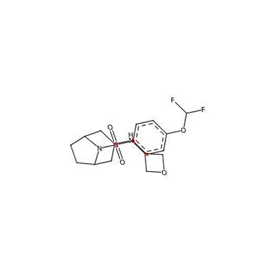 O=S(=O)(c1ccc(OC(F)F)cc1)N1C2CCC1CC(NC1COC1)C2